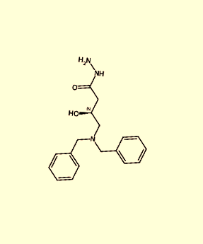 NNC(=O)C[C@H](O)CN(Cc1ccccc1)Cc1ccccc1